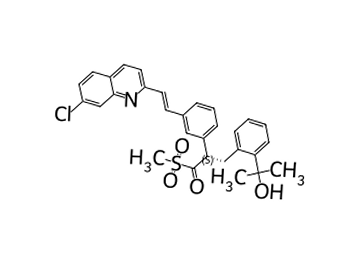 CC(C)(O)c1ccccc1C[C@H](C(=O)S(C)(=O)=O)c1cccc(C=Cc2ccc3ccc(Cl)cc3n2)c1